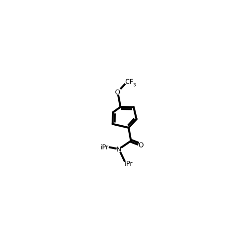 CC(C)N(C(=O)c1ccc(OC(F)(F)F)cc1)C(C)C